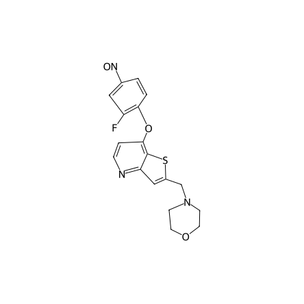 O=Nc1ccc(Oc2ccnc3cc(CN4CCOCC4)sc23)c(F)c1